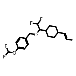 C/C=C/C1CCC(C(OCc2ccc(OC(F)F)cc2)C(F)F)CC1